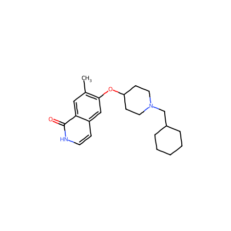 Cc1cc2c(=O)[nH]ccc2cc1OC1CCN(CC2CCCCC2)CC1